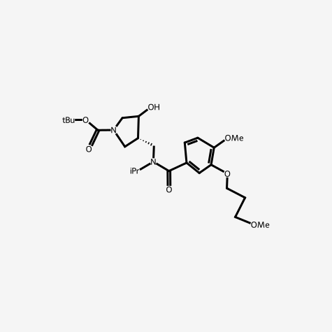 COCCCOc1cc(C(=O)N(C[C@@H]2CN(C(=O)OC(C)(C)C)CC2O)C(C)C)ccc1OC